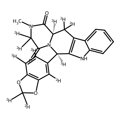 [2H]c1c([2H])c([C@]2([2H])c3[nH]c4ccccc4c3C([2H])([2H])[C@]3([2H])C(=O)N(C)C([2H])([2H])C(=O)N23)c([2H])c2c1OC([2H])([2H])O2